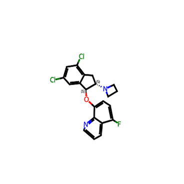 Fc1ccc(O[C@H]2c3cc(Cl)cc(Cl)c3C[C@@H]2N2CCC2)c2ncccc12